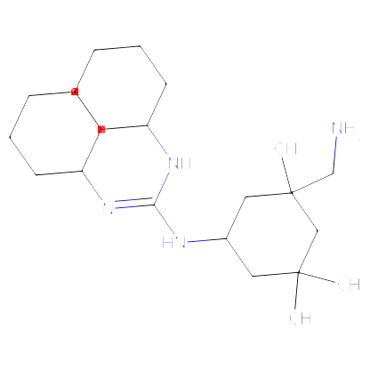 CC1(C)CC(N/C(=N/C2CCCCC2)NC2CCCCC2)CC(C)(CN)C1